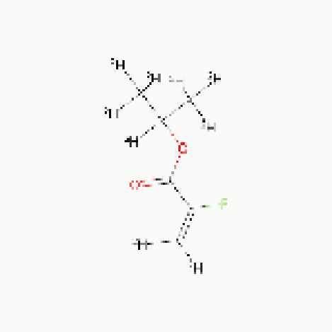 [2H]C([2H])=C(F)C(=O)OC([2H])(C([2H])([2H])[2H])C([2H])([2H])[2H]